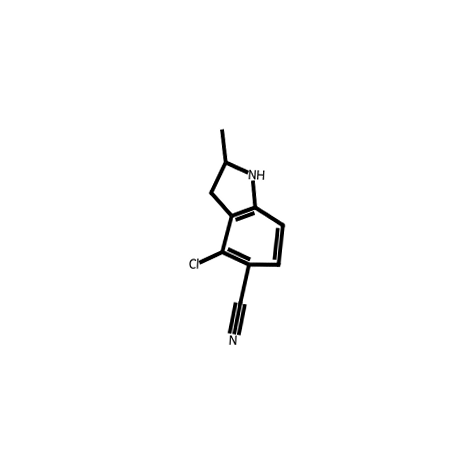 CC1Cc2c(ccc(C#N)c2Cl)N1